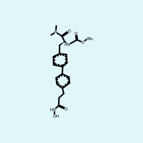 CN(C)C(=O)[C@H](Cc1ccc(-c2ccc(CCC(=O)NO)cc2)cc1)NC(=O)OC(C)(C)C